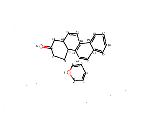 C1=CCOC=C1.O=C1CCC2c3ccc4ccccc4c3C=CC2C1